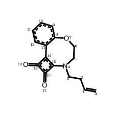 C=CCCN1CCOc2ccccc2-c2c1c(=O)c2=O